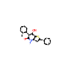 Cc1ccccc1-c1c(O)c2sc(-c3ccccc3)cc2n(C)c1=O